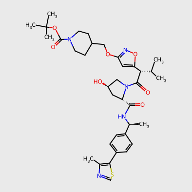 Cc1ncsc1-c1ccc([C@H](C)NC(=O)[C@@H]2C[C@@H](O)CN2C(=O)[C@H](c2cc(OCC3CCN(C(=O)OC(C)(C)C)CC3)no2)C(C)C)cc1